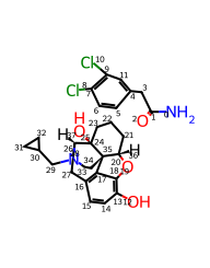 NC(=O)Cc1ccc(Cl)c(Cl)c1.Oc1ccc2c3c1O[C@H]1CCC[C@@]4(O)[C@@H](C2)N(CC2CC2)CC[C@]314